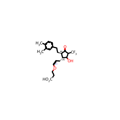 Cc1ccc(CC[C@H]2C(=O)C(C(F)(F)F)C(O)[C@@H]2C/C=C\OCCC(=O)O)cc1C